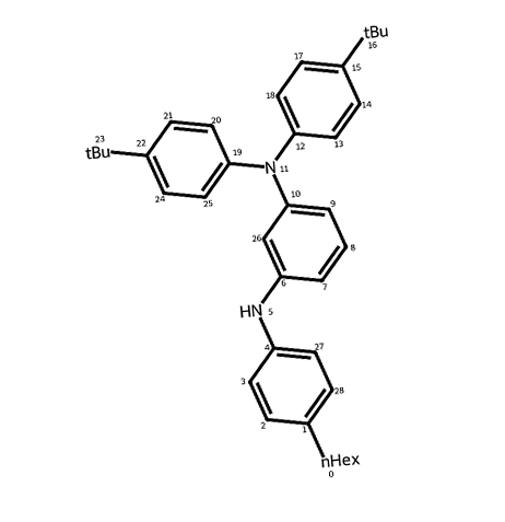 CCCCCCc1ccc(Nc2cccc(N(c3ccc(C(C)(C)C)cc3)c3ccc(C(C)(C)C)cc3)c2)cc1